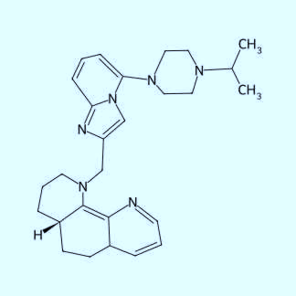 CC(C)N1CCN(c2cccc3nc(CN4CCC[C@H]5CCC6C=CC=NC6=C54)cn23)CC1